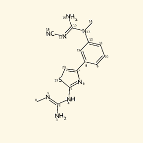 CN=C(N)Nc1nc(-c2cccc(N(C)C(N)=NC#N)c2)cs1